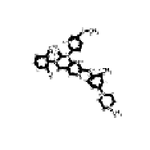 COc1ccc(N2C(=O)N(c3c(C)cccc3Cl)Cc3cnc(Nc4ccc(N5CCN(C)CC5)cc4C)nc32)nc1